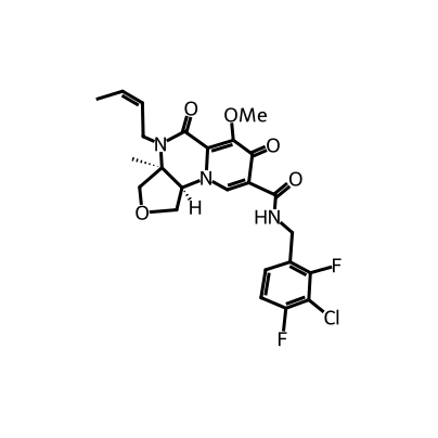 C/C=C\CN1C(=O)c2c(OC)c(=O)c(C(=O)NCc3ccc(F)c(Cl)c3F)cn2[C@H]2COC[C@]21C